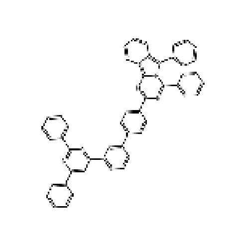 c1ccc(-c2cc(-c3cccc(-c4ccc(-c5nc(-c6ccccc6)n6c(-c7ccccc7)c7ccccc7c6n5)cc4)c3)nc(-c3ccccc3)n2)cc1